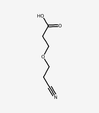 N#CCCOCCC(=O)O